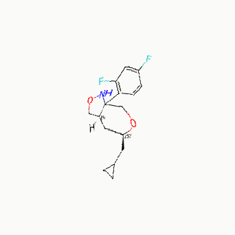 Fc1ccc(C23CO[C@@H](CC4CC4)C[C@H]2CON3)c(F)c1